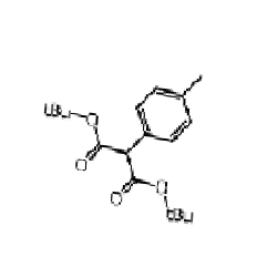 Cc1ccc(C(C(=O)OC(C)(C)C)C(=O)OC(C)(C)C)cc1